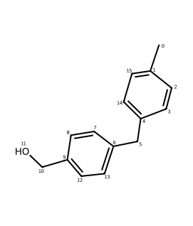 Cc1ccc(Cc2ccc(CO)cc2)cc1